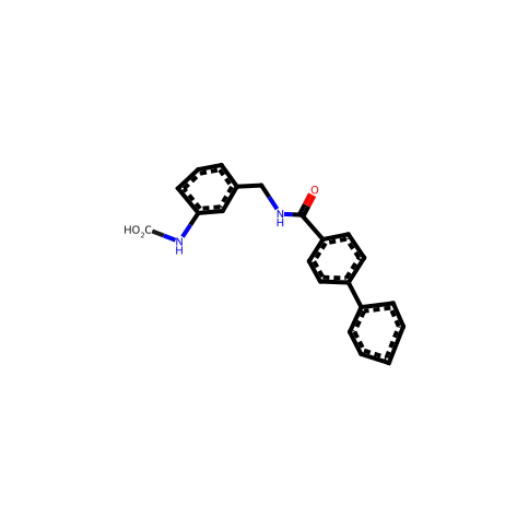 O=C(O)Nc1cccc(CNC(=O)c2ccc(-c3ccccc3)cc2)c1